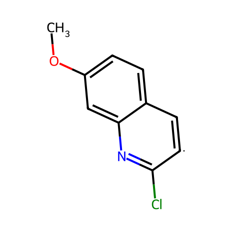 COc1ccc2c[c]c(Cl)nc2c1